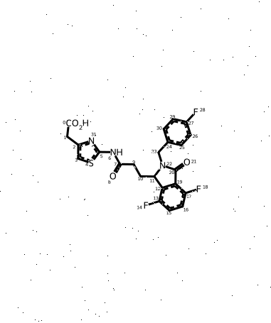 O=C(O)Cc1csc(NC(=O)CCC2c3c(F)ccc(F)c3C(=O)N2Cc2ccc(F)cc2)n1